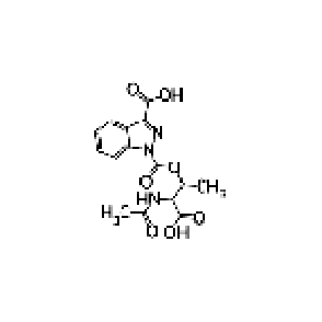 CC(=O)NC(C(=O)O)C(C)OC(=O)n1nc(C(=O)O)c2ccccc21